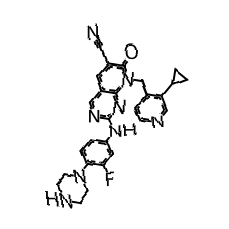 N#Cc1cc2cnc(Nc3ccc(N4CCNCC4)c(F)c3)nc2n(Cc2ccncc2C2CC2)c1=O